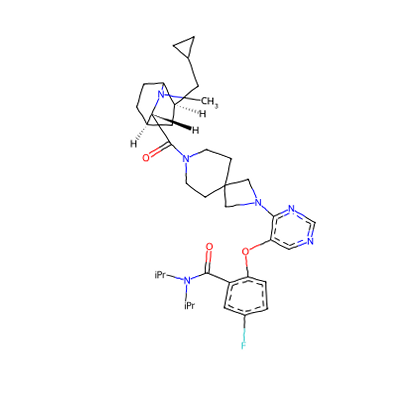 CC(C)N(C(=O)c1cc(F)ccc1Oc1cncnc1N1CC2(CCN(C(=O)[C@@H]3[C@@H]4CCC([C@@H](CC5CC5)C4)N3C)CC2)C1)C(C)C